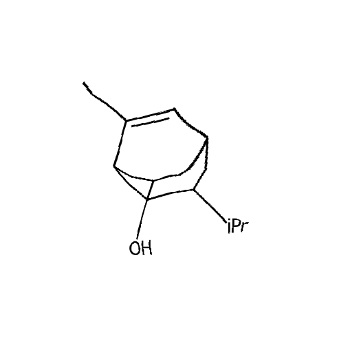 CC1=CC2CC(O)C1CC2C(C)C